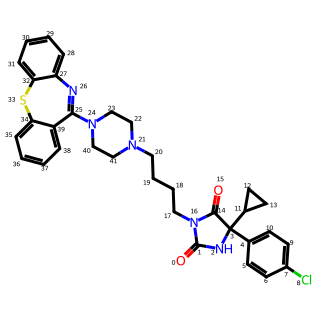 O=C1NC(c2ccc(Cl)cc2)(C2CC2)C(=O)N1CCCCN1CCN(C2=Nc3ccccc3Sc3ccccc32)CC1